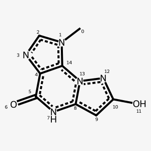 Cn1cnc2c(=O)[nH]c3cc(O)nn3c21